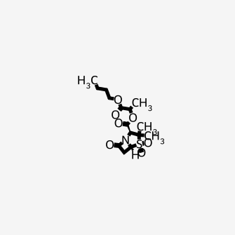 CCCCOC(=O)C(C)OC(=O)[C@@H]1N2C(=O)C[C@H]2S(=O)(=O)C1(C)C